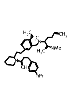 C=CCCC(C(=C)NC)N(C)Cc1cc(CCC2CCCCN2C(=C)CCc2ccc(CCC)cc2)ccc1C=C